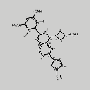 COc1cc(OC)c(F)c(-c2cc3cnc(-c4cnn(C)c4)nc3c(N3CC(OC)C3)n2)c1F